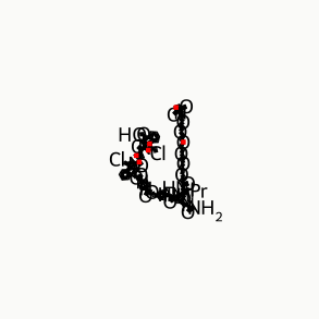 CC(C)C(NC(=O)CCOCCOCCOCCOCCOCCOCCN1C(=O)C=CC1=O)C(=O)NC(CCCNC(N)=O)C(=O)Nc1ccc(COC(=O)N2CCN(C(=O)Oc3cc4c(c5ccccc35)C(CCl)CN4C(=O)C34CC(C(=O)N5CC(CCl)c6c5cc(OO)c5ccccc65)(C3)C4)CC2)cc1